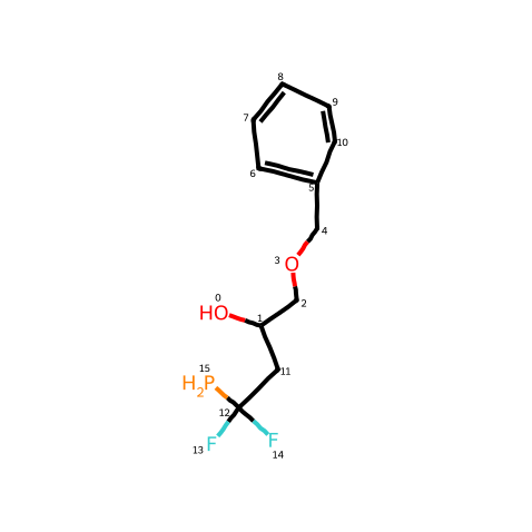 OC(COCc1ccccc1)CC(F)(F)P